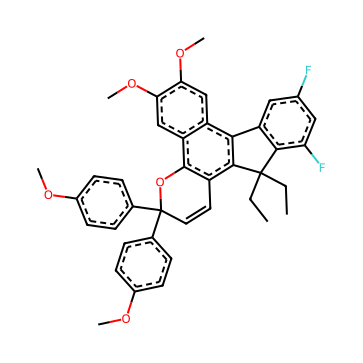 CCC1(CC)c2c(F)cc(F)cc2-c2c1c1c(c3cc(OC)c(OC)cc23)OC(c2ccc(OC)cc2)(c2ccc(OC)cc2)C=C1